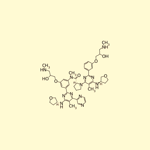 CNCC(O)COc1cccc(-c2nc(N[C@@H]3CCOC3)c(C)c(N3CCC[C@@H]3C(=O)N(C)c3cc(OCC(O)CNC)cc(-c4nc(N[C@@H]5CCOC5)c(C)c(-c5cnccn5)n4)c3)n2)c1